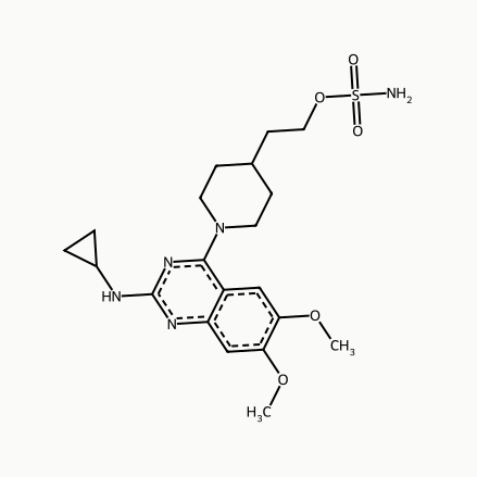 COc1cc2nc(NC3CC3)nc(N3CCC(CCOS(N)(=O)=O)CC3)c2cc1OC